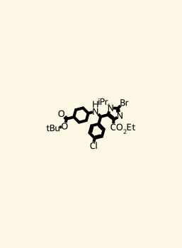 CCOC(=O)c1nc(Br)n(C(C)C)c1C(NC1CCC(C(=O)OC(C)(C)C)CC1)c1ccc(Cl)cc1